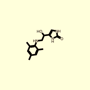 Cc1cc(C)c(NCC(O)c2c[nH]c(=O)[nH]2)c(C)c1